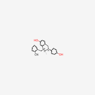 C[C@H]1[C@H](c2ccc(O)cc2)Cc2ccc(O)cc2[C@@H]1Cc1ccccc1C#N